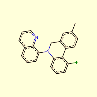 Cc1ccc2c(c1)CN(c1cccc3cccnc13)c1cccc(F)c1-2